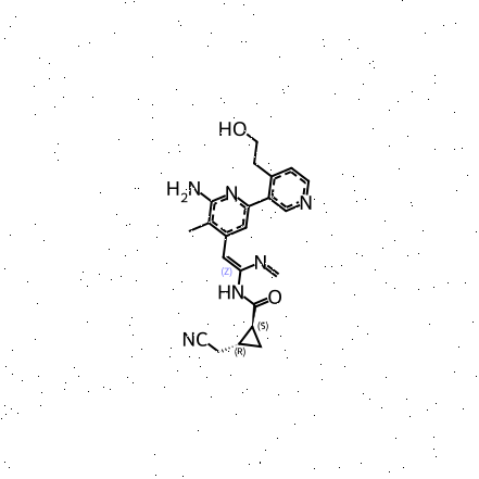 C=N/C(=C\c1cc(-c2cnccc2CCO)nc(N)c1C)NC(=O)[C@H]1C[C@@H]1CC#N